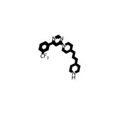 FC(F)(F)c1cccc(-c2cc(N3CCC(CCCC4CCNCC4)CC3)ncn2)c1